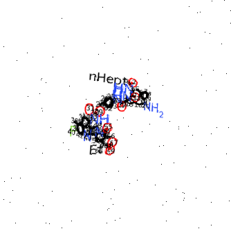 CCCCCCCC(=O)N[C@@H](Cc1ccccc1)C(=O)N[C@@H](CCCCN)C(=O)Nc1ccc(COC(=O)N[C@H]2CCc3c(C)c(F)cc4nc5c(c2c34)Cn2c-5cc3c(c2=O)COC(=O)C3CC)cc1